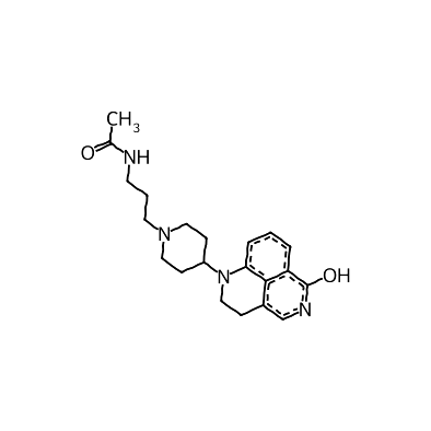 CC(=O)NCCCN1CCC(N2CCc3cnc(O)c4cccc2c34)CC1